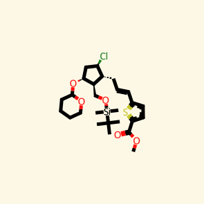 COC(=O)c1ccc(C=CC[C@@H]2[C@@H](CO[Si](C)(C)C(C)(C)C)[C@H](OC3CCCCO3)C[C@H]2Cl)s1